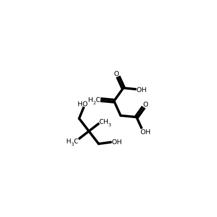 C=C(CC(=O)O)C(=O)O.CC(C)(CO)CO